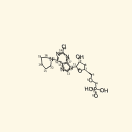 O=P(O)(O)COC[C@@H]1C[C@@H](O)C(n2cnc3c(N4CCCCC4)nc(Cl)nc32)O1